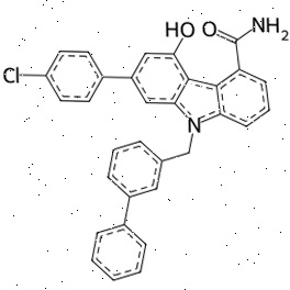 NC(=O)c1cccc2c1c1c(O)cc(-c3ccc(Cl)cc3)cc1n2Cc1cccc(-c2ccccc2)c1